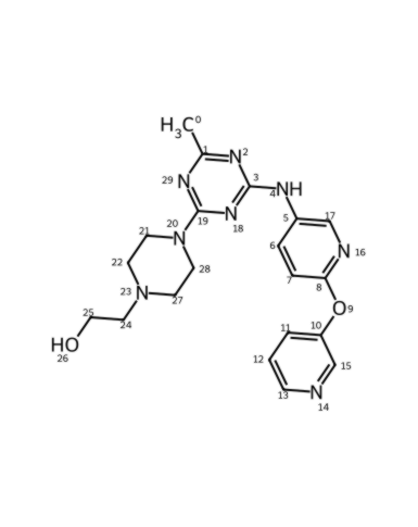 Cc1nc(Nc2ccc(Oc3cccnc3)nc2)nc(N2CCN(CCO)CC2)n1